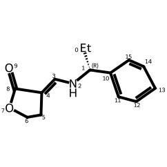 CC[C@@H](NC=C1CCOC1=O)c1ccccc1